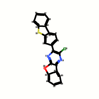 Clc1nc2c(nc1-c1ccc3c(c1)sc1ccccc13)oc1ccccc12